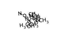 CCNC(=O)c1cc2c(-c3sc(C(C)(C)O)cc3N3Cc4ccc(C#N)cc4C3)cn(C)c(=O)c2[nH]1